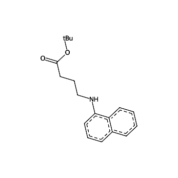 CC(C)(C)OC(=O)CCCNc1cccc2ccccc12